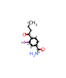 CCCC(=O)c1ccc(C(N)=O)cc1I